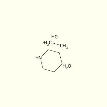 C1CCNCC1.Cl.O.[CH2]C